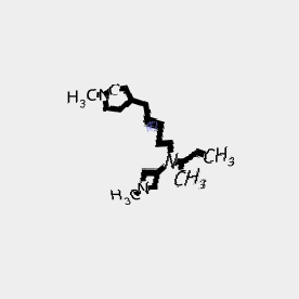 CCC(C)N(CC/C=C/CC1CCN(C)CC1)C1CN(C)C1